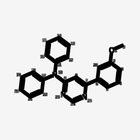 COc1cccc(-c2cc(N(c3ccccc3)c3ccccc3)ncn2)c1